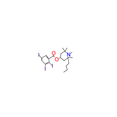 CCCCC1(C)CC(OC(=O)c2cc(I)cc(I)c2I)CC(C)(C)N1C